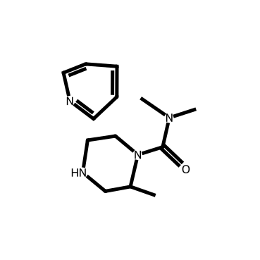 CC1CNCCN1C(=O)N(C)C.c1ccncc1